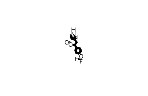 O=COC(Cc1cc[nH]n1)c1ccc(OC(F)F)cc1